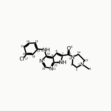 CN1CCN(C(=O)c2cc3c(Nc4cccc(Cl)c4)ncnc3[nH]2)CC1